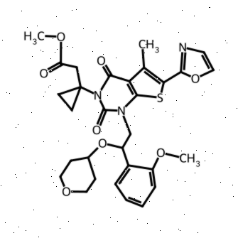 COC(=O)CC1(n2c(=O)c3c(C)c(-c4ncco4)sc3n(CC(OC3CCOCC3)c3ccccc3OC)c2=O)CC1